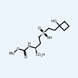 CC(C)(C)OC(=O)N[C@@H](CC[S@@](=N)(=O)CCC1(O)CCC1)C(=O)O